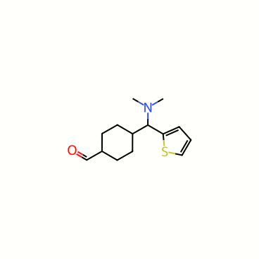 CN(C)C(c1cccs1)C1CCC(C=O)CC1